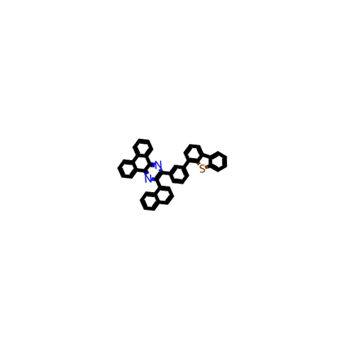 c1cc(-c2nc3c4ccccc4c4ccccc4c3nc2-c2cccc3ccccc23)cc(-c2cccc3c2sc2ccccc23)c1